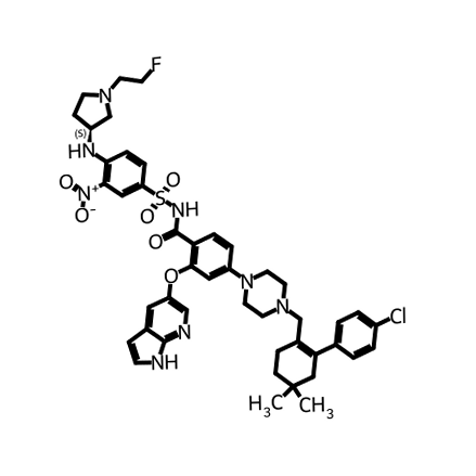 CC1(C)CCC(CN2CCN(c3ccc(C(=O)NS(=O)(=O)c4ccc(N[C@H]5CCN(CCF)C5)c([N+](=O)[O-])c4)c(Oc4cnc5[nH]ccc5c4)c3)CC2)=C(c2ccc(Cl)cc2)C1